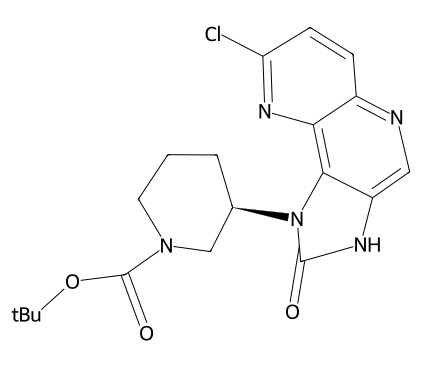 CC(C)(C)OC(=O)N1CCC[C@@H](n2c(=O)[nH]c3cnc4ccc(Cl)nc4c32)C1